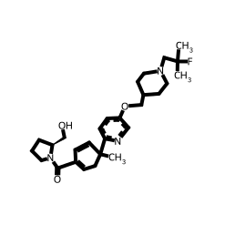 CC(C)(F)CN1CCC(COc2ccc(C3(C)C=CC(C(=O)N4CCC[C@H]4CO)=CC3)nc2)CC1